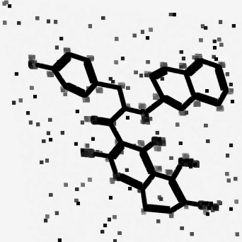 COc1ccc2nc(O)c(C(=O)C(Cc3ccc(Cl)cc3)Nc3ccc4ccccc4c3)c(O)c2c1OC